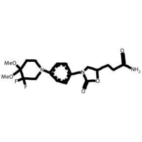 COC1(OC)CCN(c2ccc(N3CC(CCC(N)=O)OC3=O)cc2)CC1(F)F